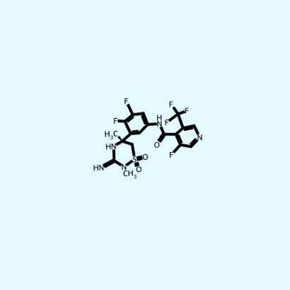 CN1C(=N)N[C@](C)(c2cc(NC(=O)c3c(F)cncc3C(F)(F)F)cc(F)c2F)CS1(=O)=O